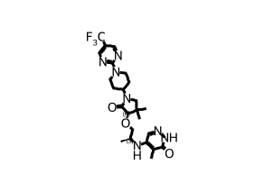 Cc1c(N[C@@H](C)CO[C@H]2C(=O)N(C3CCN(c4ncc(C(F)(F)F)cn4)CC3)CC2(C)C)cn[nH]c1=O